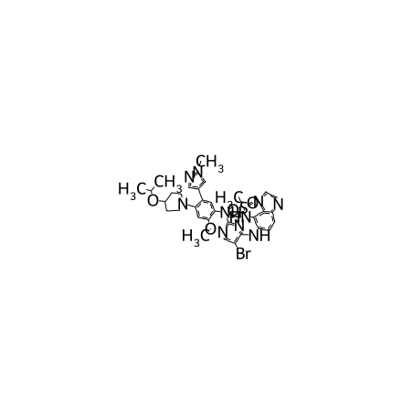 COc1cc(N2CCC(OC(C)C)CC2)c(-c2cnn(C)c2)cc1Nc1ncc(Br)c(Nc2ccc3nccnc3c2NS(C)(=O)=O)n1